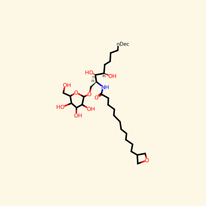 CCCCCCCCCCCCCC[C@@H](O)[C@@H](O)[C@H](COC1OC(CO)C(O)C(O)C1O)NC(=O)CCCCCCCCCCC1COC1